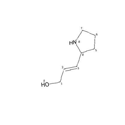 OCC=CC1CCCN1